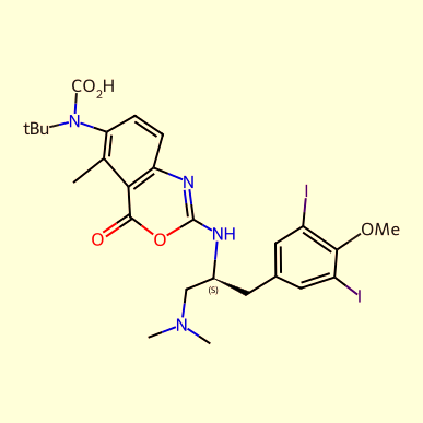 COc1c(I)cc(C[C@@H](CN(C)C)Nc2nc3ccc(N(C(=O)O)C(C)(C)C)c(C)c3c(=O)o2)cc1I